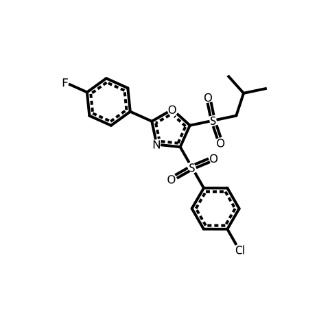 CC(C)CS(=O)(=O)c1oc(-c2ccc(F)cc2)nc1S(=O)(=O)c1ccc(Cl)cc1